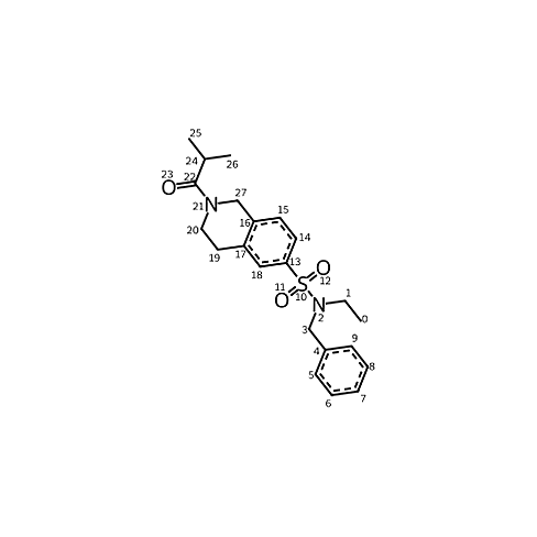 CCN(Cc1ccccc1)S(=O)(=O)c1ccc2c(c1)CCN(C(=O)C(C)C)C2